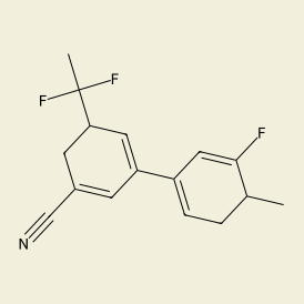 CC1CC=C(C2=CC(C(C)(F)F)CC(C#N)=C2)C=C1F